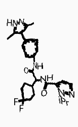 Cc1n[nH]c(C)c1-c1ccc(NC(=O)C(NC(=O)c2ccnn2C(C)C)C2CCC(F)(F)CC2)cc1